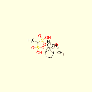 CC(S(=O)(=O)O)S(=O)(=O)O.CC12CCC(CC1=O)C2(C)C